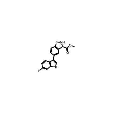 COC(=O)C1NSc2ccc(-c3c[nH]c4cc(F)ccc34)cc21